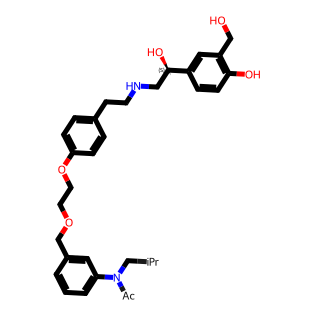 CC(=O)N(CC(C)C)c1cccc(COCCOc2ccc(CCNC[C@@H](O)c3ccc(O)c(CO)c3)cc2)c1